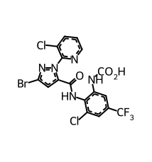 O=C(O)Nc1cc(C(F)(F)F)cc(Cl)c1NC(=O)c1cc(Br)nn1-c1ncccc1Cl